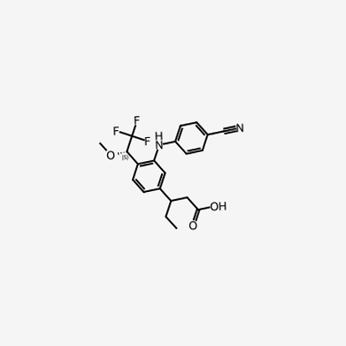 CCC(CC(=O)O)c1ccc([C@H](OC)C(F)(F)F)c(Nc2ccc(C#N)cc2)c1